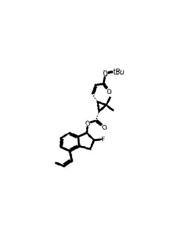 C/C=C\c1cccc2c1CC(F)C2OC(=O)[C@@H]1[C@H](/C=C\C(=O)OC(C)(C)C)C1(C)C